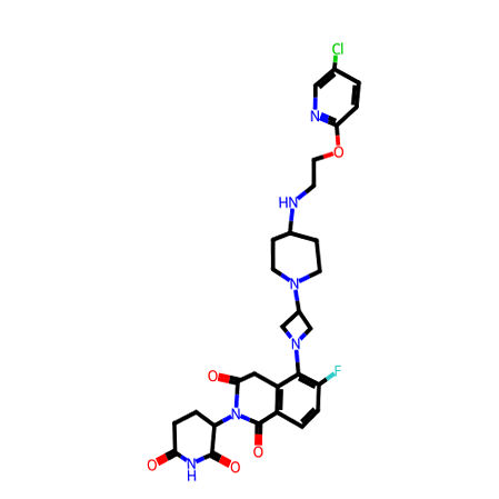 O=C1CCC(N2C(=O)Cc3c(ccc(F)c3N3CC(N4CCC(NCCOc5ccc(Cl)cn5)CC4)C3)C2=O)C(=O)N1